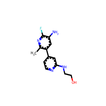 Cc1nc(F)c(N)cc1-c1ccnc(NCCO)c1